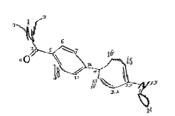 CN(C)C(=O)c1ccc(C2C=CC(N=O)=CC2)cc1